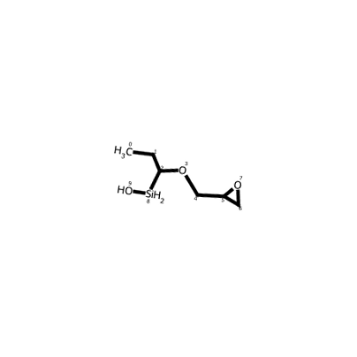 CCC(OCC1CO1)[SiH2]O